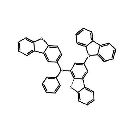 c1ccc(N(c2ccc3sc4ccccc4c3c2)c2cc(-n3c4ccccc4c4ccccc43)cc3c2sc2ccccc23)cc1